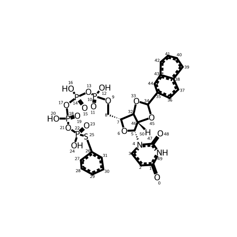 O=c1ccn([C@@H]2O[C@H](COP(=O)(O)OP(=O)(O)OP(=O)(O)OP(=O)(O)Sc3ccccc3)C3OC(c4ccc5ccccc5c4)O[C@@H]32)c(=O)[nH]1